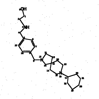 OCCNCc1ccc(CN2CCC3(CCN(C4CCCCC4)CC3)C2)cc1